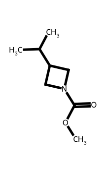 COC(=O)N1CC(C(C)C)C1